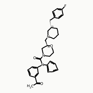 CC(=O)c1cccc(N(C(=O)N2CCO[C@H](CN3CCC[C@@H](Cc4ccc(F)cc4)C3)C2)c2ccccc2)c1